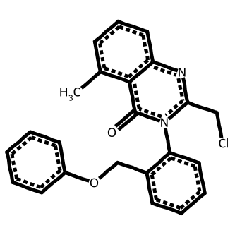 Cc1cccc2nc(CCl)n(-c3ccccc3COc3ccccc3)c(=O)c12